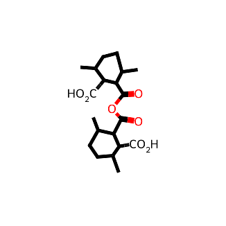 CC1CCC(C)C(C(=O)OC(=O)C2C(C)CCC(C)C2C(=O)O)C1C(=O)O